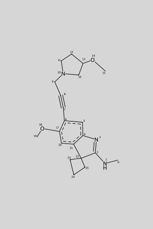 CNC1=Nc2cc(C#CCN3CCC(OC)C3)c(OC)cc2C12CCC2